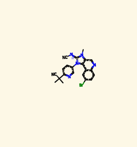 Cn1/c(=N/C#N)n(-c2ccc(C(C)(C)C#N)nc2)c2c3cc(Br)ccc3ncc21